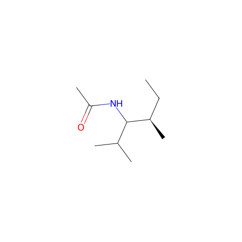 CC[C@@H](C)C(NC(C)=O)C(C)C